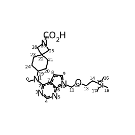 CN(c1ncnc2c1ccn2COCC[Si](C)(C)C)C1CCC2(CC1)CN(C(=O)O)C2